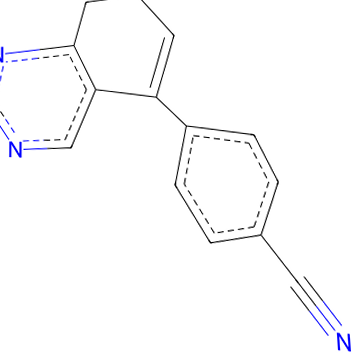 N#Cc1ccc(C2=CCCc3ncncc32)cc1